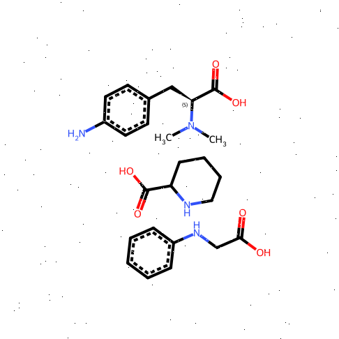 CN(C)[C@@H](Cc1ccc(N)cc1)C(=O)O.O=C(O)C1CCCCN1.O=C(O)CNc1ccccc1